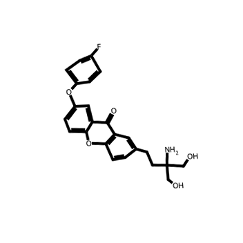 NC(CO)(CO)CCc1ccc2oc3ccc(Oc4ccc(F)cc4)cc3c(=O)c2c1